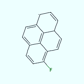 Fc1ccc2ccc3c4c2c1C=CC4C=C[CH]3